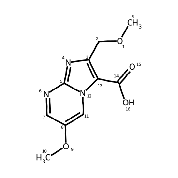 COCc1nc2ncc(OC)cn2c1C(=O)O